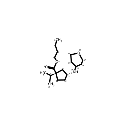 CCCCOC(=O)[C@@]1(C(C)C)CC[C@@H](NC2CCOCC2)C1